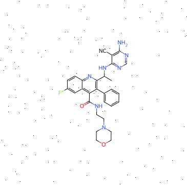 CC(Nc1ncnc(N)c1C#N)c1nc2ccc(F)cc2c(C(=O)NCCN2CCOCC2)c1-c1ccccc1